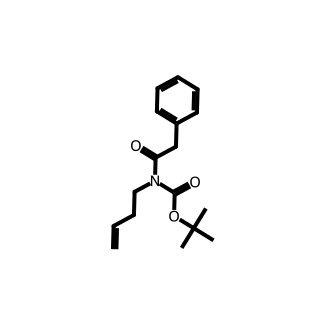 C=CCCN(C(=O)Cc1ccccc1)C(=O)OC(C)(C)C